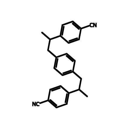 CC(Cc1ccc(CC(C)c2ccc(C#N)cc2)cc1)c1ccc(C#N)cc1